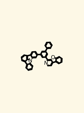 c1ccc(-c2cc(-c3ccc4c5cccc6c7ccccc7n(c4c3)c65)cc(-c3nccc4c3oc3ccccc34)c2)cc1